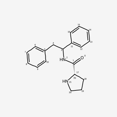 O=C(NC(Cc1ccccc1)c1ccccc1)[C@@H]1CCCN1